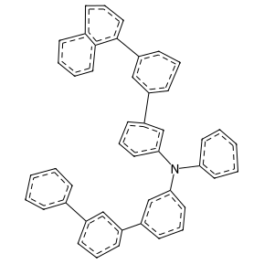 c1ccc(-c2cccc(-c3cccc(N(c4ccccc4)c4cccc(-c5cccc(-c6cccc7ccccc67)c5)c4)c3)c2)cc1